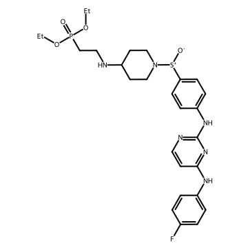 CCOP(=O)(CCNC1CCN([S+]([O-])c2ccc(Nc3nccc(Nc4ccc(F)cc4)n3)cc2)CC1)OCC